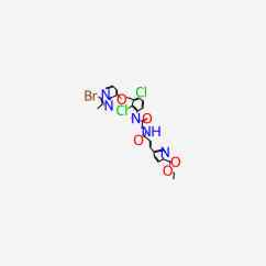 CCOC(=O)c1ccc(/C=C/C(=O)NCC(=O)N(C)c2ccc(Cl)c(COc3cccn4c(Br)c(C)nc34)c2Cl)cn1